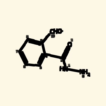 NNC(=O)c1ccccc1[C]=O